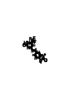 Cn1c(=O)n(C)c2cc(/C=C/c3cc(C(F)(F)F)[nH]c(=O)n3)ccc21